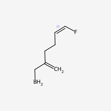 BCC(=C)CC/C=C\F